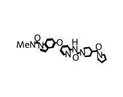 CNC(=O)n1ccc2cc(Oc3ccnc(NC(=O)N4CCC(C(=O)N5CCCC5)CC4)c3)ccc21